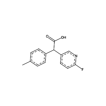 Cc1ccc(C(C(=O)O)c2ccc(F)nc2)cc1